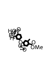 COC(=O)c1cc(S(C)(=O)=O)c(Oc2ccc([N+](=O)O)c(S(F)(F)(F)(F)F)c2)cc1C